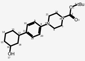 CC(C)(C)OC(=O)N1CCN(c2ccc(C3CCCC(O)C3)cc2)CC1